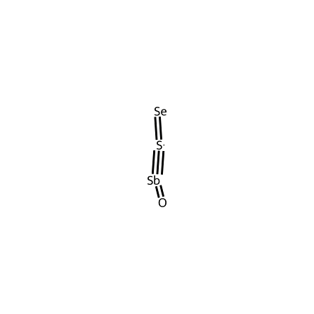 [O]=[Sb]#[S]=[Se]